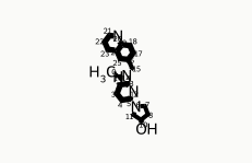 Cn1c2ccc(N3CCC(O)C3)nc2n1Cc1ccc2ncccc2c1